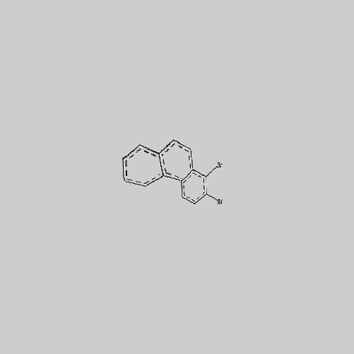 Brc1ccc2c(ccc3ccccc32)c1Br